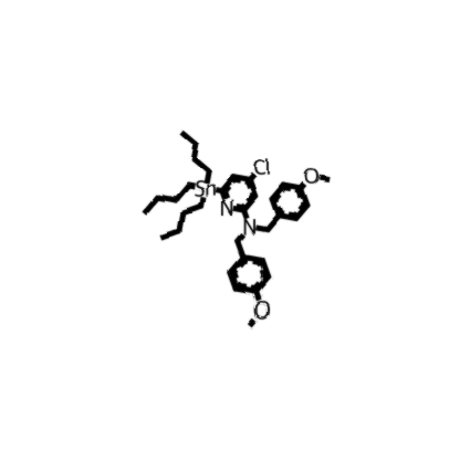 CCC[CH2][Sn]([CH2]CCC)([CH2]CCC)[c]1cc(Cl)cc(N(Cc2ccc(OC)cc2)Cc2ccc(OC)cc2)n1